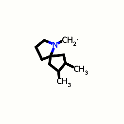 [CH2]N1CCCC12CC(C)C(C)C2